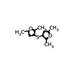 Cc1cc(Sc2cc(C)oc2C)c(C)o1